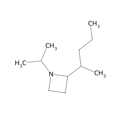 CCCC(C)C1CCN1C(C)C